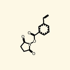 C=Cc1cccc(C(=O)ON2C(=O)CCC2=O)c1